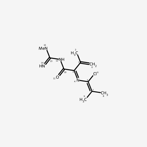 C=C(C)/C(=N\C(Cl)=C(C)C)C(=O)NC(=N)NC